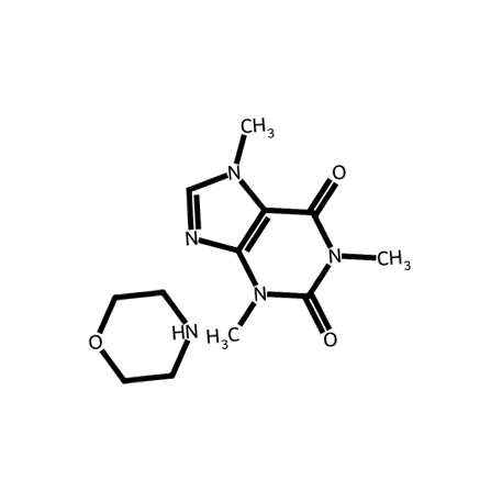 C1COCCN1.Cn1c(=O)c2c(ncn2C)n(C)c1=O